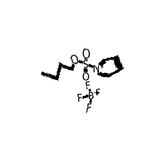 CCCCOS(=O)(=O)[n+]1ccccc1.F[B-](F)(F)F